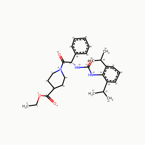 CCOC(=O)C1CCN(C(=O)[C@@H](NC(=O)Nc2c(C(C)C)cccc2C(C)C)c2ccccc2)CC1